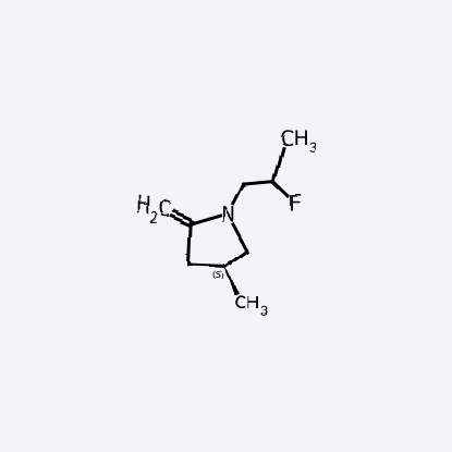 C=C1C[C@H](C)CN1CC(C)F